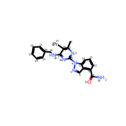 Cc1nc(-n2ncc3c(C(N)=O)cccc32)nc(NCc2ccccc2)c1C(C)C